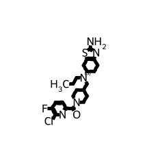 CCCN(CC1CCN(C(=O)c2ccc(F)c(Cl)n2)CC1)[C@H]1CCc2nc(N)sc2C1